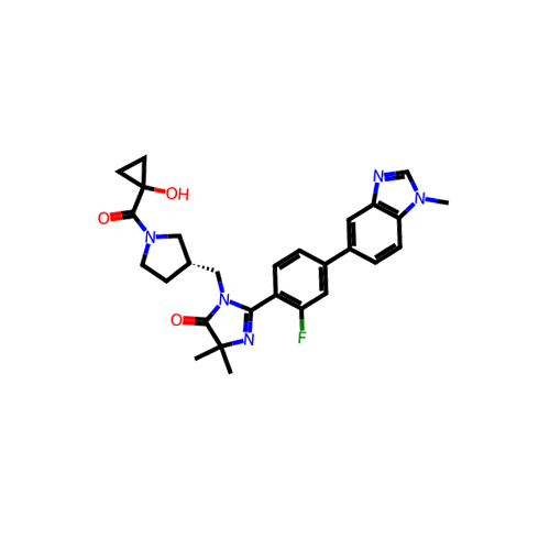 Cn1cnc2cc(-c3ccc(C4=NC(C)(C)C(=O)N4C[C@@H]4CCN(C(=O)C5(O)CC5)C4)c(F)c3)ccc21